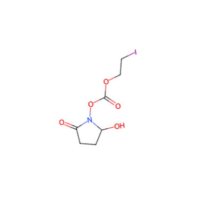 O=C(OCCI)ON1C(=O)CCC1O